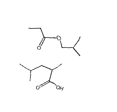 CC(C)CC(C)C(=O)O.CCC(=O)OCC(C)C